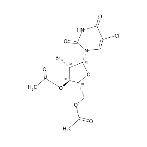 CC(=O)OC[C@H]1O[C@@H](n2cc(Cl)c(=O)[nH]c2=O)[C@@H](Br)[C@@H]1OC(C)=O